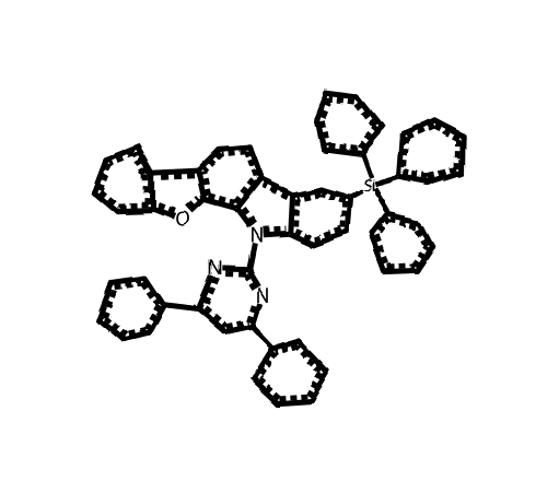 c1ccc(-c2cc(-c3ccccc3)nc(-n3c4ccc([Si](c5ccccc5)(c5ccccc5)c5ccccc5)cc4c4ccc5c6ccccc6oc5c43)n2)cc1